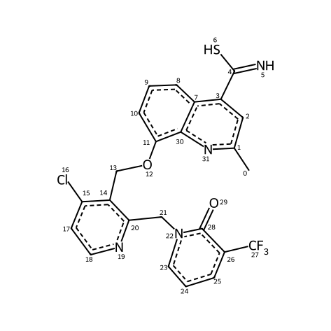 Cc1cc(C(=N)S)c2cccc(OCc3c(Cl)ccnc3Cn3cccc(C(F)(F)F)c3=O)c2n1